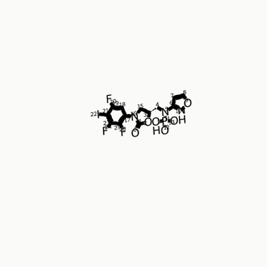 O=C1O[C@@H](CN(c2ccon2)P(=O)(O)O)CN1c1cc(F)c(I)c(F)c1F